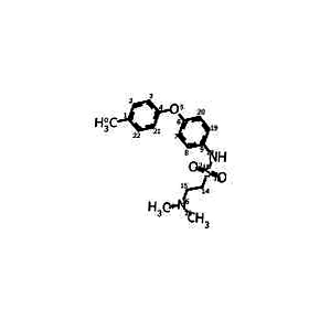 Cc1ccc(Oc2ccc(NS(=O)(=O)CCN(C)C)cc2)cc1